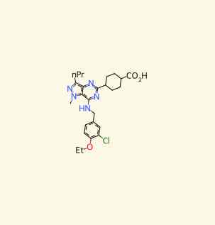 CCCc1nn(C)c2c(NCc3ccc(OCC)c(Cl)c3)nc(C3CCC(C(=O)O)CC3)nc12